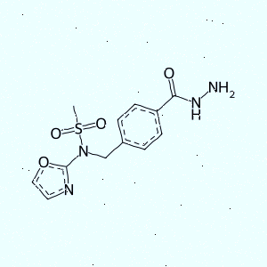 CS(=O)(=O)N(Cc1ccc(C(=O)NN)cc1)c1ncco1